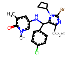 CCOC(=O)c1nc(Br)n(C2CCC2)c1C(Nc1cc(C)c(=O)n(C)c1)c1ccc(Cl)cc1